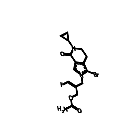 NC(=O)OCC(=CF)Cn1cc2c(c1Br)CCN(C1CC1)C2=O